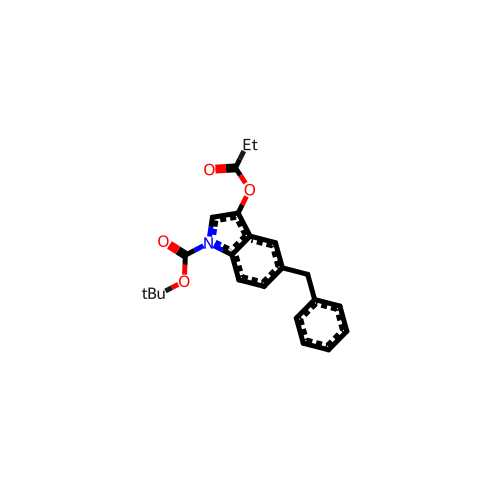 CCC(=O)Oc1cn(C(=O)OC(C)(C)C)c2ccc(Cc3ccccc3)cc12